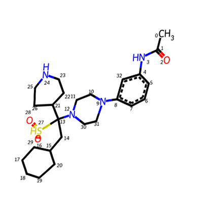 CC(=O)Nc1cccc(N2CCN(C(CC3CCCCC3)(C3CCNCC3)[SH](=O)=O)CC2)c1